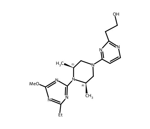 CCc1nc(OC)nc(N2[C@H](C)CN(c3ccnc(CCO)n3)C[C@@H]2C)n1